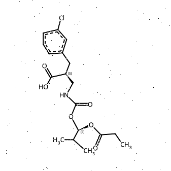 CCC(=O)O[C@H](OC(=O)NC[C@H](Cc1cccc(Cl)c1)C(=O)O)C(C)C